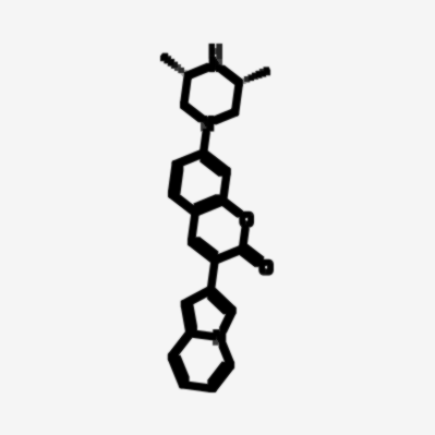 C[C@@H]1CN(c2ccc3cc(-c4cc5ccccn5c4)c(=O)oc3c2)C[C@H](C)N1